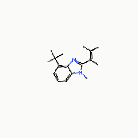 CC(C)=C(C)c1nc2c(C(C)(C)C)cccc2n1C